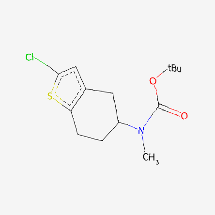 CN(C(=O)OC(C)(C)C)C1CCc2sc(Cl)cc2C1